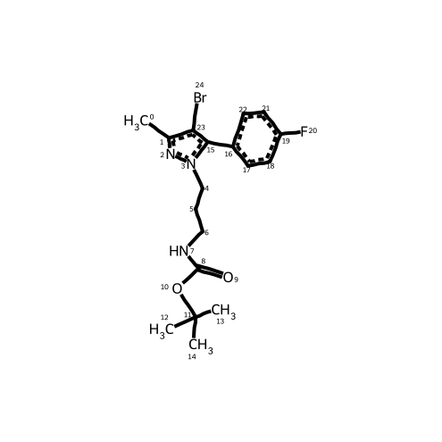 Cc1nn(CCCNC(=O)OC(C)(C)C)c(-c2ccc(F)cc2)c1Br